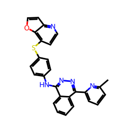 Cc1cccc(-c2nnc(Nc3ccc(Sc4ccnc5ccoc45)cc3)c3ccccc23)n1